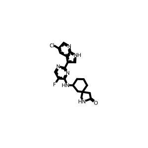 O=C1CC2(CCCC(Nc3nc(-c4c[nH]c5ncc(Cl)cc45)ncc3F)C2)CN1